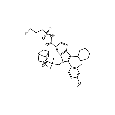 COc1ccc(-c2c(C3CCCCC3)c3ccc(C(=O)NS(=O)(=O)CCCF)cc3n2CC(C)(C)C(=O)N2C3CC2CN(C)C3)c(C)c1